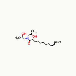 CCCCCCCC/C=C\CCCCCCCC(=O)N(CC(C)O)CC(C)O